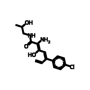 C=C/C(=C\C(O)=C(/N)C(=O)NCC(C)O)c1ccc(Cl)cc1